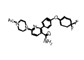 CC(=O)N1CCN(c2ccc(C(N)=O)c(-c3ccc(OC4CCC(F)(F)CC4)cc3)n2)CC1